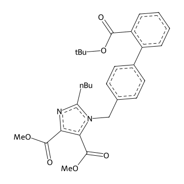 CCCCc1nc(C(=O)OC)c(C(=O)OC)n1Cc1ccc(-c2ccccc2C(=O)OC(C)(C)C)cc1